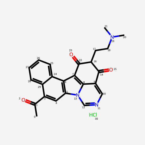 CC(=O)c1cc2c(c3c4c(cncn42)C(=O)C(CCN(C)C)C3=O)c2ccccc12.Cl